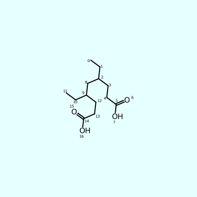 CCC(CCC(=O)O)CC(CC)CCC(=O)O